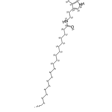 CCCCCCCCCCCCCCCCCCCC(=O)NCCc1c[nH]c2ccc(C)cc12